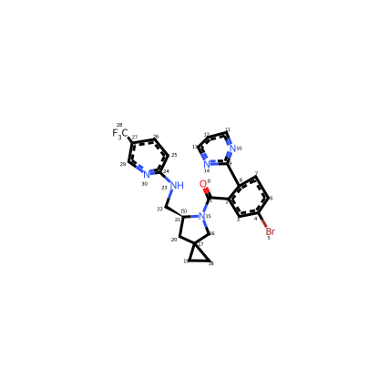 O=C(c1cc(Br)ccc1-c1ncccn1)N1CC2(CC2)C[C@H]1CNc1ccc(C(F)(F)F)cn1